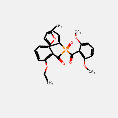 CCOc1cccc(OCC)c1C(=O)P(=O)(C(=O)c1c(OC)cccc1OC)c1ccccc1